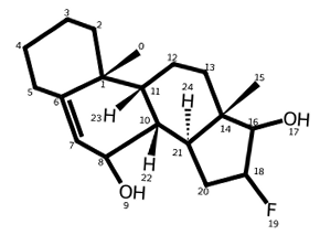 C[C@]12CCCCC1=CC(O)[C@@H]1[C@H]2CC[C@]2(C)C(O)C(F)C[C@@H]12